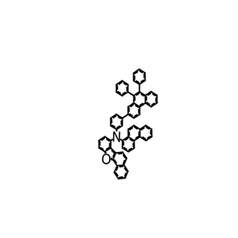 c1ccc(-c2c(-c3ccccc3)c3cc(-c4cccc(N(c5cccc6c5ccc5ccccc56)c5cccc6oc7c8ccccc8ccc7c56)c4)ccc3c3ccccc23)cc1